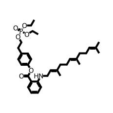 CCOP(=O)(OCC)OCCc1ccc(OC(=O)c2ccccc2NC/C=C(\C)CC/C=C(\C)CCC=C(C)C)cc1